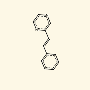 C(=C\c1cnccn1)/c1ccccc1